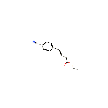 CCOC(=O)CC=Cc1ccc(C#N)cc1